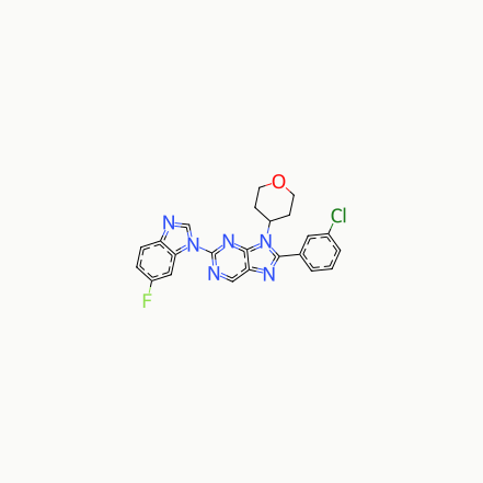 Fc1ccc2ncn(-c3ncc4nc(-c5cccc(Cl)c5)n(C5CCOCC5)c4n3)c2c1